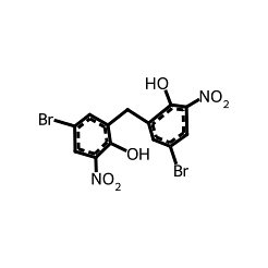 O=[N+]([O-])c1cc(Br)cc(Cc2cc(Br)cc([N+](=O)[O-])c2O)c1O